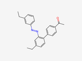 CCc1cccc(/N=N/c2cc(CC)ccc2-c2ccc(C(C)=O)cc2)c1